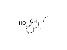 CCCCC(C)c1cccc(O)c1O